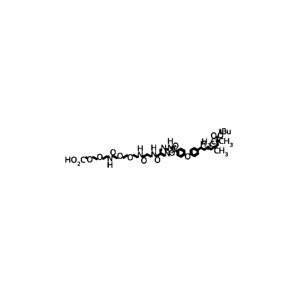 CC(C)(CCCCc1ccc(Oc2ccc(S(=O)(=O)Nc3ncc(C(=O)NCCC(=O)NCCOCCOCC(=O)NCCOCCOCC(=O)O)cn3)cc2)cc1)CC(C)(C)C(=O)OC(C)(C)C